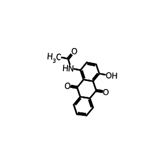 CC(=O)Nc1ccc(O)c2c1C(=O)c1ccccc1C2=O